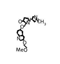 COCCOc1cnc2ccc(OCc3nn(-c4cnn(C)c4)ccc3=O)cc2c1